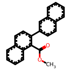 COC(=O)c1c(-c2ccc3ccccc3c2)ccc2ccccc12